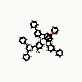 COc1ccc2c(c1)c1cc(-c3ccccc3)ccc1n2-c1cc(-c2nc(-c3ccccc3)cc(-c3ccccc3)n2)c(C#N)cc1-n1c2ccc(-c3ccccc3)cc2c2cc(-c3ccccc3)ccc21